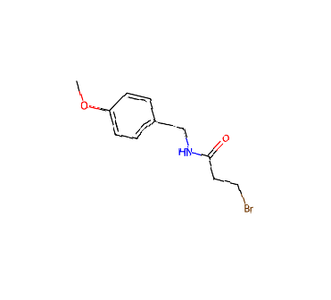 COc1ccc(CNC(=O)CCBr)cc1